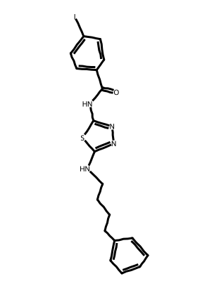 O=C(Nc1nnc(NCCCCc2ccccc2)s1)c1ccc(I)cc1